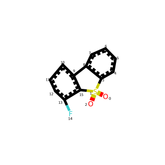 O=S1(=O)c2ccccc2-c2cccc(F)c21